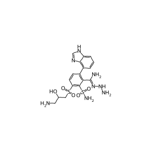 NCC(O)CS(=O)(=O)c1ccc(-c2cccc3[nH]cnc23)c(/C(N)=N/NN)c1S(N)(=O)=O